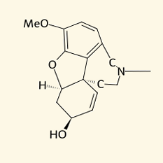 COc1ccc2c3c1O[C@@H]1C[C@H](O)C=C[C@]31CCN(C)C2